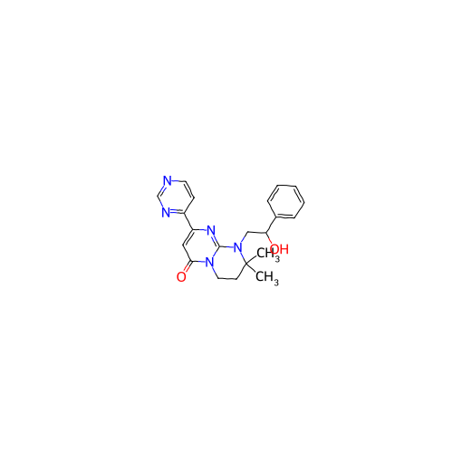 CC1(C)CCn2c(nc(-c3ccncn3)cc2=O)N1CC(O)c1ccccc1